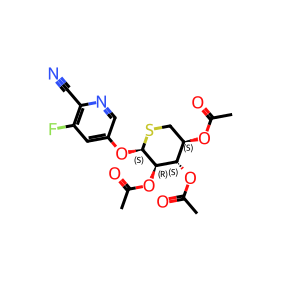 CC(=O)O[C@@H]1[C@@H](OC(C)=O)[C@@H](Oc2cnc(C#N)c(F)c2)SC[C@H]1OC(C)=O